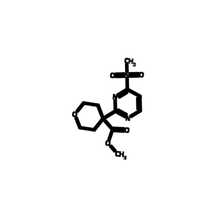 COC(=O)C1(c2nccc(S(C)(=O)=O)n2)CCOCC1